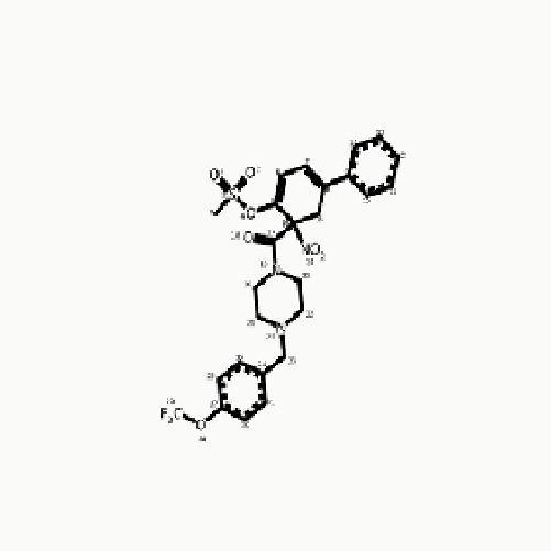 CS(=O)(=O)OC1=CC=C(c2ccccc2)CC1(C(=O)N1CCN(Cc2ccc(OC(F)(F)F)cc2)CC1)[N+](=O)[O-]